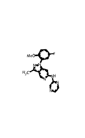 COc1ccc(F)cc1-n1nc(C)c2cnc(Nc3cnccn3)cc21